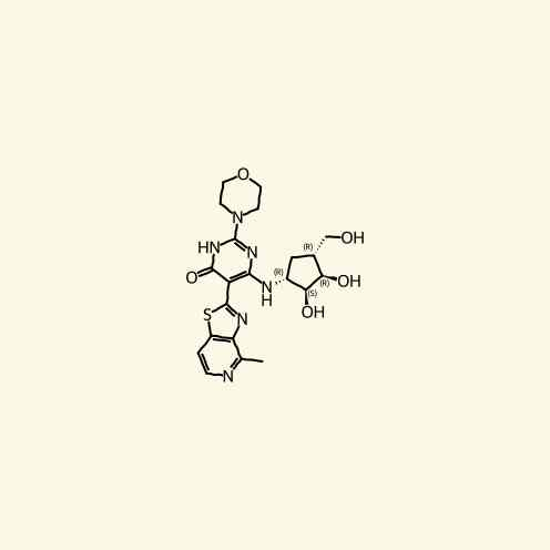 Cc1nccc2sc(-c3c(N[C@@H]4C[C@H](CO)[C@@H](O)[C@H]4O)nc(N4CCOCC4)[nH]c3=O)nc12